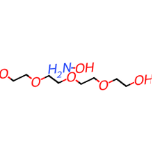 NO.OCCOCCOCCOCCO